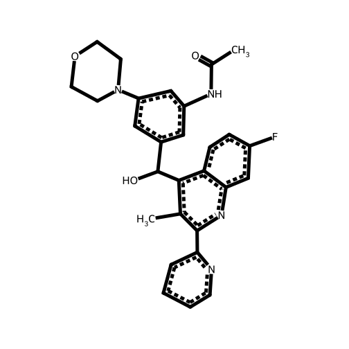 CC(=O)Nc1cc(C(O)c2c(C)c(-c3ccccn3)nc3cc(F)ccc23)cc(N2CCOCC2)c1